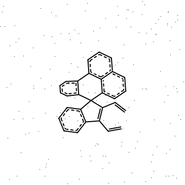 C=CC1=C(C=C)C2(c3ccccc31)c1ccccc1-c1cccc3cccc2c13